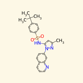 Cc1cc(NS(=O)(=O)c2ccc(C(C)(C)C)cc2)n(-c2ccc3cccnc3c2)n1